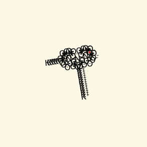 O=P([O-])([O-])C(N(CCN(C(P(=O)([O-])[O-])P(=O)([O-])[O-])C(P(=O)([O-])[O-])P(=O)([O-])[O-])CCN(C(P(=O)([O-])[O-])P(=O)([O-])[O-])C(P(=O)([O-])[O-])P(=O)([O-])[O-])P(=O)([O-])[O-].[K+].[K+].[K+].[K+].[K+].[K+].[K+].[K+].[K+].[K+].[K+].[K+].[K+].[K+].[K+].[K+].[K+].[K+].[K+].[K+]